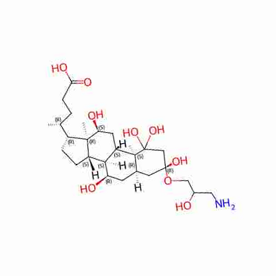 C[C@H](CCC(=O)O)[C@H]1CC[C@H]2[C@@H]3[C@H](O)C[C@@H]4C[C@@](O)(OCC(O)CN)CC(O)(O)[C@]4(C)[C@H]3C[C@H](O)[C@]12C